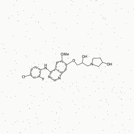 COc1cc2c(Nc3ccc(Cl)cc3F)ncnc2cc1OCC(O)CN1CCC(O)C1